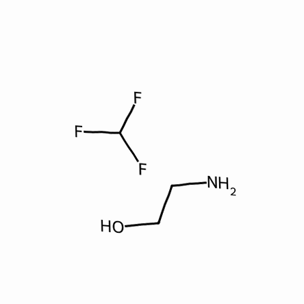 FC(F)F.NCCO